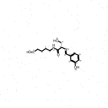 CCCCCCCCCCCCCCNC(=O)[C@H](CO)N=Cc1cccc(O)c1